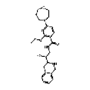 CCOc1nc(N2CCCOCC2)ccc1C(=O)NCC(O)C1Cc2ccccc2CN1